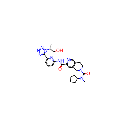 C[C@H](CO)n1nnnc1-c1cccc(NC(=O)c2cc3c(cn2)CCN(C(=O)N(C)C2CCCC2)C3)n1